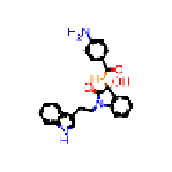 Nc1ccc(C(=O)P[C@]2(O)C(=O)N(CCc3c[nH]c4ccccc34)c3ccccc32)cc1